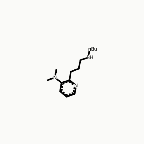 CCCCBCCCc1ncccc1N(C)C